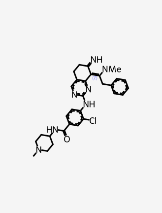 CN/C(Cc1ccccc1)=C1\C(=N)CCc2cnc(Nc3ccc(C(=O)NC4CCN(C)CC4)cc3Cl)nc21